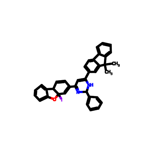 CC1(C)c2ccccc2-c2ccc(C3=CC(C4=CC5(I)Oc6ccccc6C5C=C4)=NC(c4ccccc4)N3)cc21